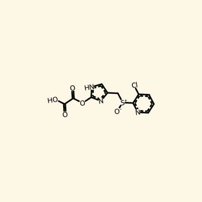 O=C(O)C(=O)Oc1nc(C[S+]([O-])c2ncccc2Cl)c[nH]1